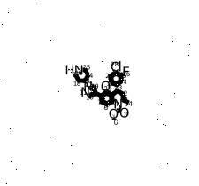 COC(=O)N1c2ccc(-c3cnn(C4CCNCC4)c3)c(Oc3ccc(F)c(Cl)c3)c2CCC1C